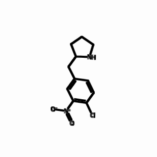 O=[N+]([O-])c1cc(CC2CCCN2)ccc1Cl